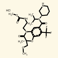 COC[C@]1(C)Oc2cc(C(F)(F)F)c(C(=O)N(C(C)C)[C@@H]3CCCNC3)cc2N(CCNC(=O)OC)C1=O.Cl